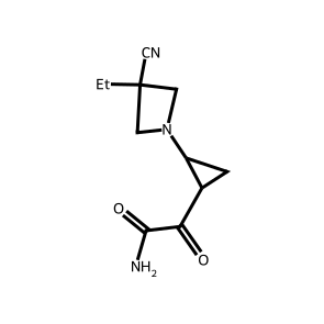 CCC1(C#N)CN(C2CC2C(=O)C(N)=O)C1